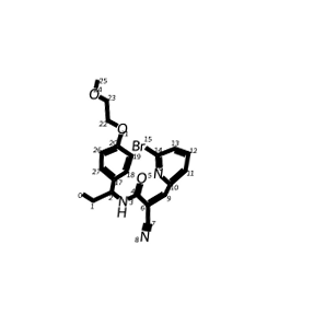 CCC(NC(=O)C(C#N)=Cc1cccc(Br)n1)c1ccc(OCCOC)cc1